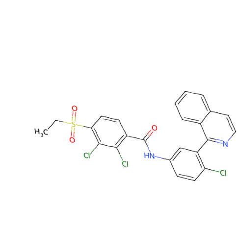 CCS(=O)(=O)c1ccc(C(=O)Nc2ccc(Cl)c(-c3nccc4ccccc34)c2)c(Cl)c1Cl